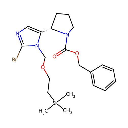 C[Si](C)(C)CCOCn1c([C@@H]2CCCN2C(=O)OCc2ccccc2)cnc1Br